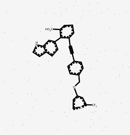 O=C(O)c1cccc(C#Cc2ccc(COc3cccc(C(F)(F)F)c3)cc2)c1-c1ccc2cc[nH]c2c1